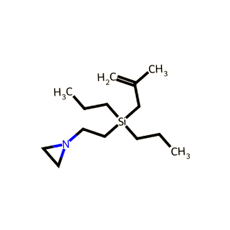 C=C(C)C[Si](CCC)(CCC)CCN1CC1